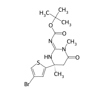 CN1C(=O)C[C@@](C)(c2cc(Br)cs2)NC1=NC(=O)OC(C)(C)C